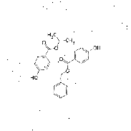 CC(C)OC(=O)c1ccc(O)cc1.O=C(OCc1ccccc1)c1ccc(O)cc1